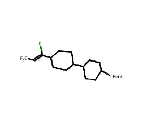 CCCCCC1CCC(C2CCC(/C(F)=C/C(F)(F)F)CC2)CC1